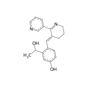 CC(O)c1cc(O)ccc1/C=C1\CCCN=C1c1cccnc1